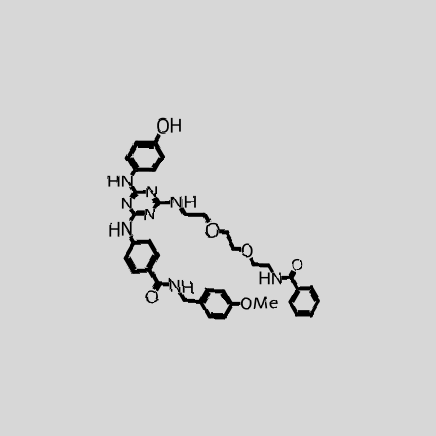 COc1ccc(CNC(=O)C2=CCC(Nc3nc(NCCOCCOCCNC(=O)c4ccccc4)nc(Nc4ccc(O)cc4)n3)C=C2)cc1